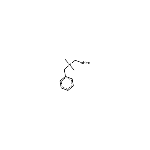 CCCCCCC[N+](C)(C)Cc1ccccc1